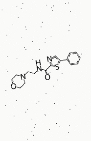 O=C(NCCN1CCOCC1)c1ncc(-c2ccccc2)s1